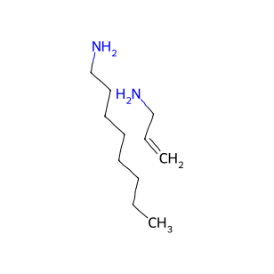 C=CCN.CCCCCCCCN